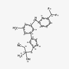 Cc1cc(Nc2nccc(C(F)F)n2)cc(-c2cnn(CC(C)(O)CC#N)c2)c1